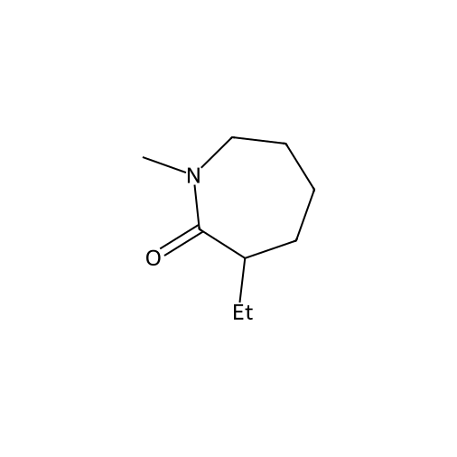 CCC1CCCCN(C)C1=O